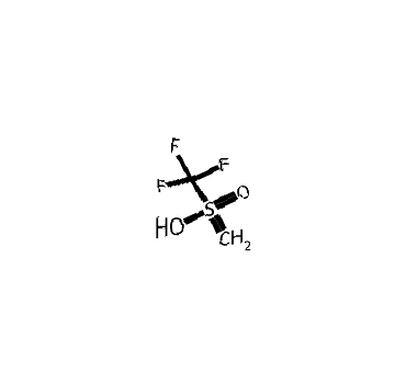 C=S(=O)(O)C(F)(F)F